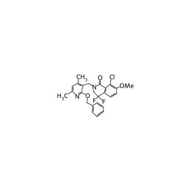 COc1ccc2c(c1Cl)C(=O)N(Cc1c(C)cc(C)nc1OCc1ccccc1)CC2(F)F